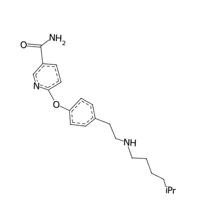 CC(C)CCCCNCCc1ccc(Oc2ccc(C(N)=O)cn2)cc1